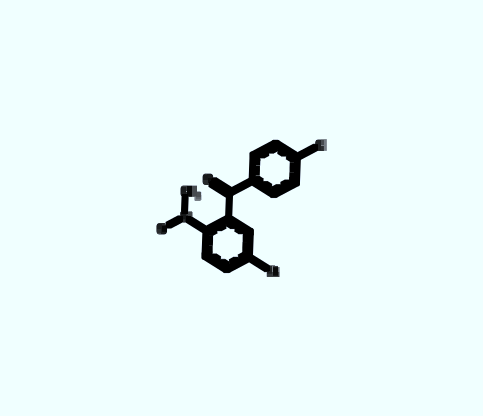 CCc1ccc([S+](C)[O-])c(C(=O)c2ccc(Cl)cc2)c1